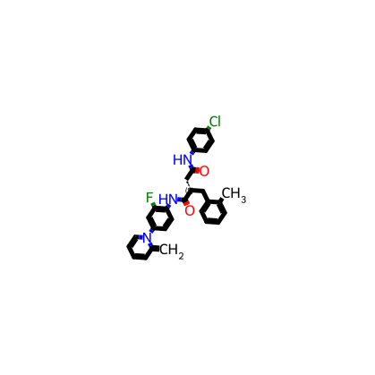 C=C1C=CC=CN1c1ccc(NC(=O)[C@H](CC(=O)Nc2ccc(Cl)cc2)Cc2ccccc2C)c(F)c1